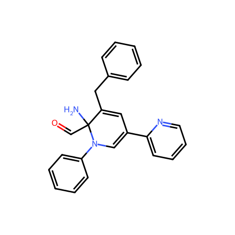 NC1(C=O)C(Cc2ccccc2)=CC(c2ccccn2)=CN1c1ccccc1